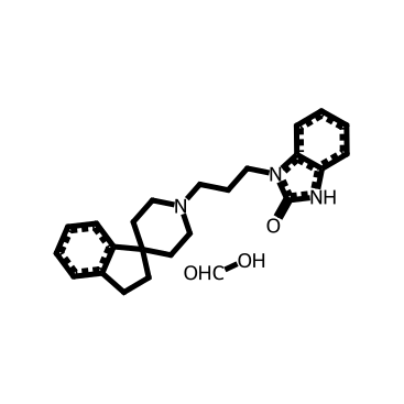 O=CO.O=c1[nH]c2ccccc2n1CCCN1CCC2(CCc3ccccc32)CC1